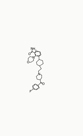 NC(=O)c1cccc(C2CCC(CCN3CCC(C(=O)c4ccc(F)cc4)CC3)CC2)c1N1CCOCC1